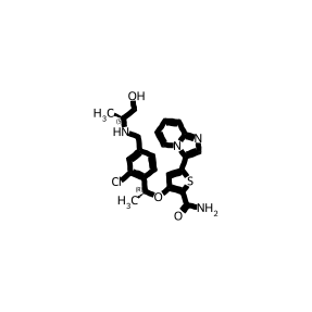 C[C@@H](CO)NCc1ccc([C@@H](C)Oc2cc(-c3cnc4ccccn34)sc2C(N)=O)c(Cl)c1